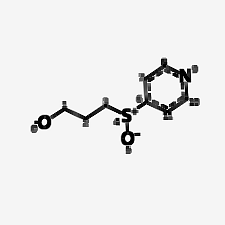 [O]CCC[S+]([O-])c1ccncc1